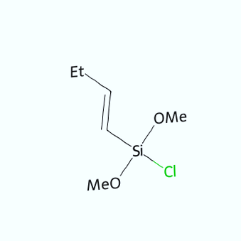 CC/C=C/[Si](Cl)(OC)OC